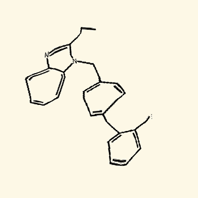 [C]c1ccccc1-c1ccc(Cn2c(CC)nc3ccccc32)cc1